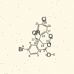 COC(=O)c1ccc(Br)cc1[C@@]1(CO)CCOc2cc(Cl)ccc21